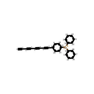 C#CC#CC#CC#Cc1ccc([S+](c2ccccc2)c2ccccc2)cc1